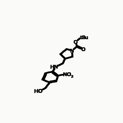 CC(C)(C)OC(=O)N1CCC(CNc2ccc(CO)cc2[N+](=O)[O-])C1